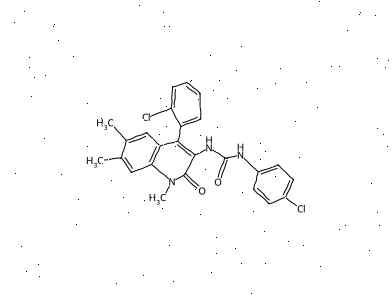 Cc1cc2c(-c3ccccc3Cl)c(NC(=O)Nc3ccc(Cl)cc3)c(=O)n(C)c2cc1C